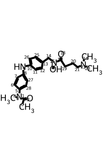 CC(=O)N(C)c1ccc(Nc2ccc(CN(O)C(=O)CCCN(C)C)cc2)cc1